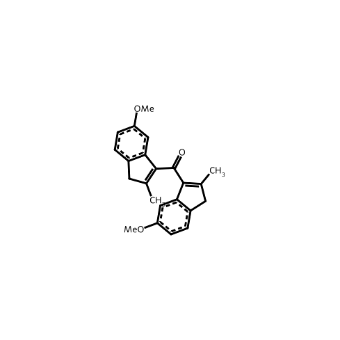 COc1ccc2c(c1)C(C(=O)C1=C(C)Cc3ccc(OC)cc31)=C(C)C2